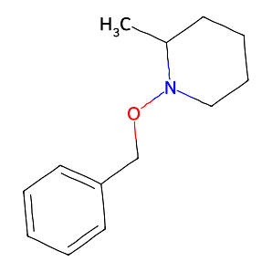 CC1CCCCN1OCc1ccccc1